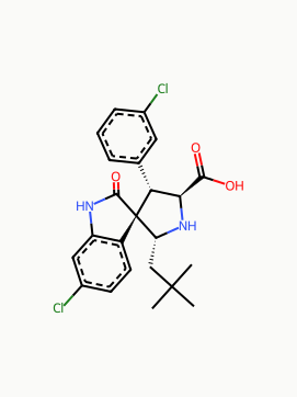 CC(C)(C)C[C@H]1N[C@H](C(=O)O)[C@@H](c2cccc(Cl)c2)[C@@]12C(=O)Nc1cc(Cl)ccc12